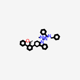 CN/C(=N\C(=N/Cc1ccccc1)c1ccccc1)n1c2c(c3ccccc31)CC(c1cccc3c1[C@H](C)Oc1ccccc1-3)CC2